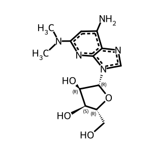 CN(C)c1cc(N)c2ncn([C@@H]3O[C@H](CO)[C@@H](O)[C@H]3O)c2n1